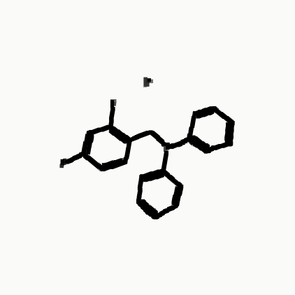 Fc1ccc(CP(c2ccccc2)c2ccccc2)c(F)c1.[Ir]